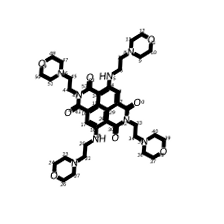 O=C1c2cc(NCCN3CCOCC3)c3c4c(cc(NCCN5CCOCC5)c(c24)C(=O)N1CCN1CCOCC1)C(=O)N(CCN1CCOCC1)C3=O